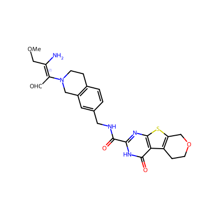 COC/C(N)=C(\C=O)N1CCc2ccc(CNC(=O)c3nc4sc5c(c4c(=O)[nH]3)CCOC5)cc2C1